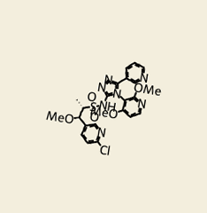 COc1ccnc(OC)c1-n1c(NS(=O)(=O)[C@@H](C)[C@H](OC)c2ccc(Cl)nc2)nnc1-c1cccnc1